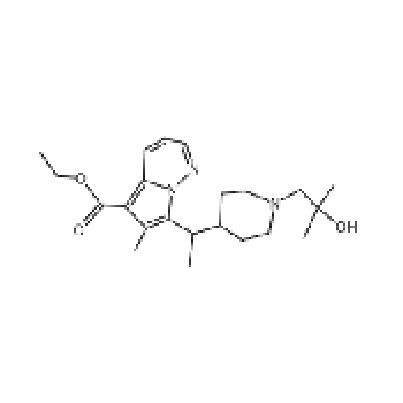 CCOC(=O)c1c(C)c(C(C)C2CCN(CC(C)(C)O)CC2)n2ncccc12